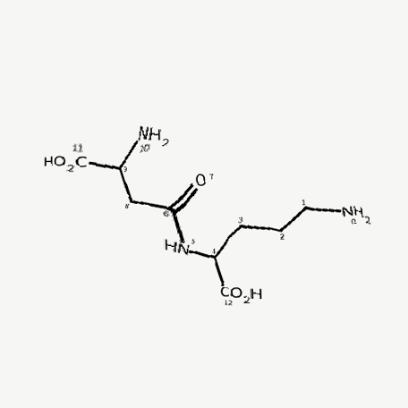 NCCCC(NC(=O)CC(N)C(=O)O)C(=O)O